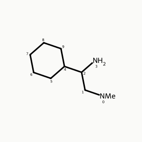 CNCC(N)C1CCCCC1